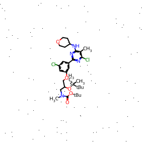 Cc1c(Cl)nc(-c2cc(Cl)cc(OCC(CN(C)C(=O)OC(C)(C)C)O[Si](C)(C)C(C)(C)C)c2)nc1NC1CCOCC1